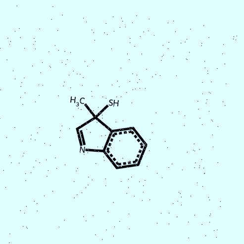 CC1(S)C=Nc2ccccc21